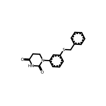 O=C1CCN(c2cccc(SCc3ccccc3)c2)C(=O)N1